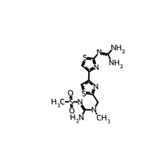 CN(Cc1nc(-c2csc(N=C(N)N)n2)cs1)C(N)=NS(C)(=O)=O